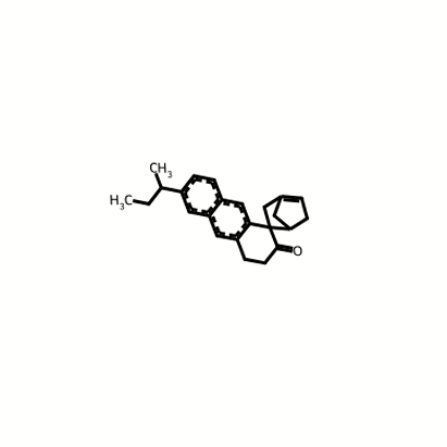 CCC(C)c1ccc2cc3c(cc2c1)CCC(=O)C31CC2=CCC1C2